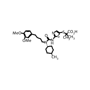 COc1ccc(CCCCN(C(=O)Nc2ncc(SC(C)(C)C(=O)O)s2)[C@H]2CC[C@H](C)CC2)cc1OC